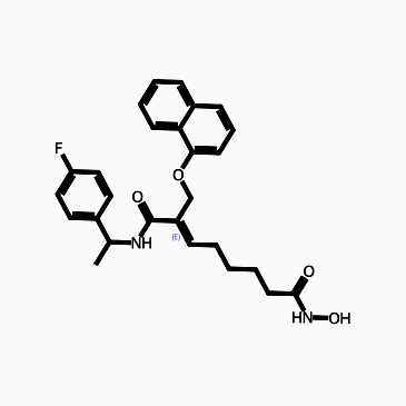 CC(NC(=O)/C(=C/CCCCC(=O)NO)COc1cccc2ccccc12)c1ccc(F)cc1